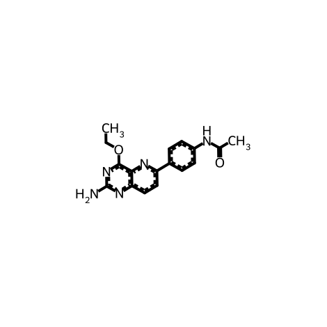 CCOc1nc(N)nc2ccc(-c3ccc(NC(C)=O)cc3)nc12